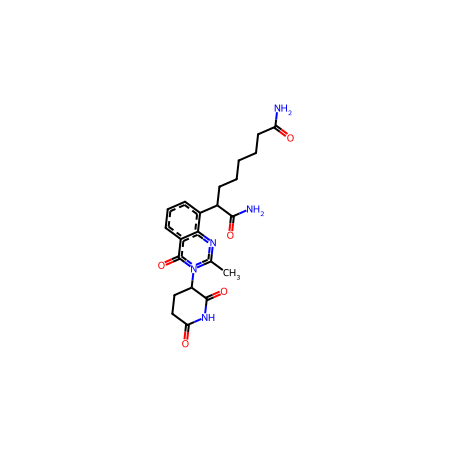 Cc1nc2c(C(CCCCCC(N)=O)C(N)=O)cccc2c(=O)n1C1CCC(=O)NC1=O